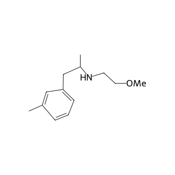 COCCNC(C)Cc1cccc(C)c1